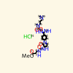 COC(=O)CCNC(=O)N[C@H]1CCN(c2ccc(C(=N)NOC(=O)N(C)CCCN(C)C)cc2)C1=O.Cl